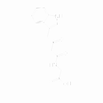 O=C(O)CNC(=O)CC(=O)Cc1c[nH]c2ccccc12